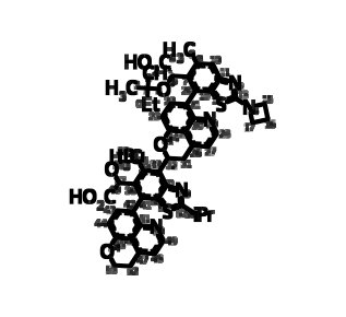 CCC(C)(C)O[C@H](C(=O)O)c1c(C)cc2nc(N3CCC3)sc2c1-c1ccc2c3c(ccnc13)CC(c1c(C)c([C@H](OC(C)(C)C)C(=O)O)c(-c3ccc4c5c(ccnc35)CCO4)c3sc(C(C)C)nc13)O2